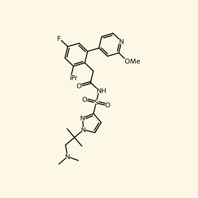 COc1cc(-c2cc(F)cc(C(C)C)c2CC(=O)NS(=O)(=O)c2ccn(C(C)(C)CN(C)C)n2)ccn1